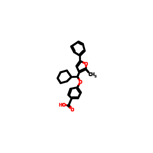 Cc1oc(-c2ccccc2)cc1C(Oc1ccc(C(=O)O)cc1)C1CCCCC1